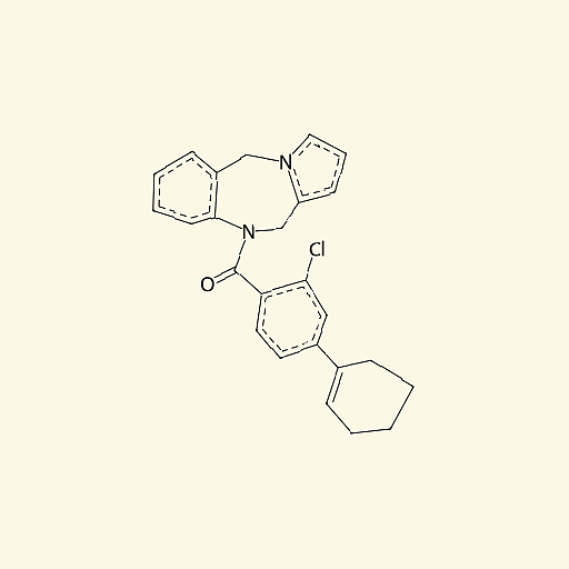 O=C(c1ccc(C2=CCCCC2)cc1Cl)N1Cc2cccn2Cc2ccccc21